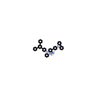 c1ccc(-c2cc(-c3ccccc3)cc(-c3ccc(N(c4ccccc4)c4ccc(-c5ccc(-n6c7ccccc7c7ccccc76)cc5)c5nsnc45)cc3)c2)cc1